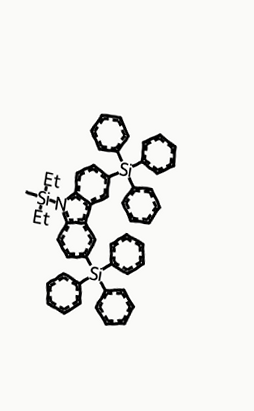 CC[Si](C)(CC)n1c2ccc([Si](c3ccccc3)(c3ccccc3)c3ccccc3)cc2c2cc([Si](c3ccccc3)(c3ccccc3)c3ccccc3)ccc21